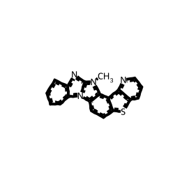 Cn1c2c3c(ccc2n2c4ccccc4nc12)sc1cccnc13